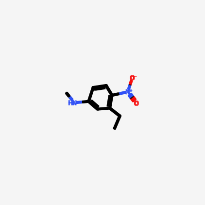 CCc1cc(NC)ccc1[N+](=O)[O-]